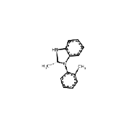 Cc1ccccc1N1c2ccccc2N[C@H]1C